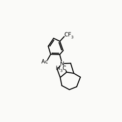 CC(=O)c1ccc(C(F)(F)F)cc1N1CC2CCCCC(C1)C2C